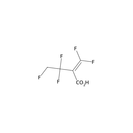 O=C(O)C(=C(F)F)C(F)(F)CF